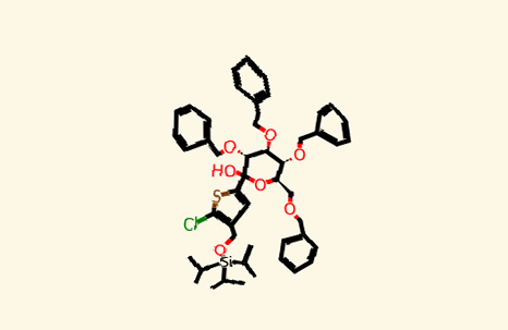 CC(C)[Si](OCc1cc(C2(O)O[C@H](COCc3ccccc3)[C@@H](OCc3ccccc3)[C@H](OCc3ccccc3)[C@H]2OCc2ccccc2)sc1Cl)(C(C)C)C(C)C